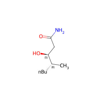 CCCC[C@@H](C)[C@@H](O)CC(N)=O